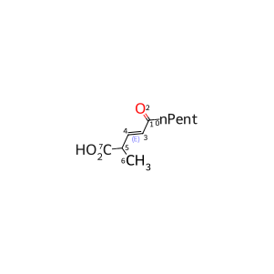 CCCCCC(=O)/C=C/C(C)C(=O)O